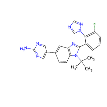 CC(C)(C)n1c(-c2cccc(F)c2-n2cncn2)nc2cc(-c3cnc(N)nc3)ccc21